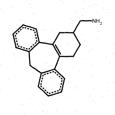 NCC1CCC2=C(C1)c1ccccc1Cc1ccccc12